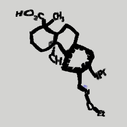 CCO/N=C/c1cc2c(cc1C(C)C)CCC1C(C)(C(=O)O)CCC[C@]21C